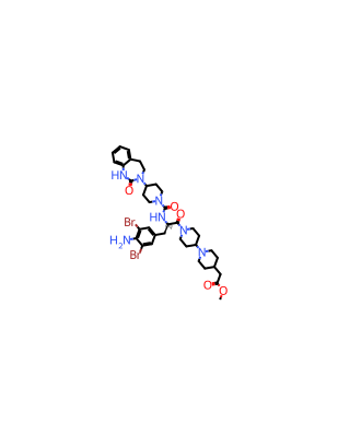 COC(=O)CC1CCN(C2CCN(C(=O)[C@@H](Cc3cc(Br)c(N)c(Br)c3)NC(=O)N3CCC(N4CCc5ccccc5NC4=O)CC3)CC2)CC1